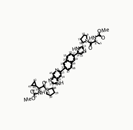 COC(=O)N[C@@H](C)C(=O)N1CCC[C@H]1c1ncc(-c2ccc3cc(-c4cc5[nH]c([C@@H]6CCCN6C(=O)[C@@H](NC(=O)OC)C6CC6)nc5cn4)ccc3c2)[nH]1